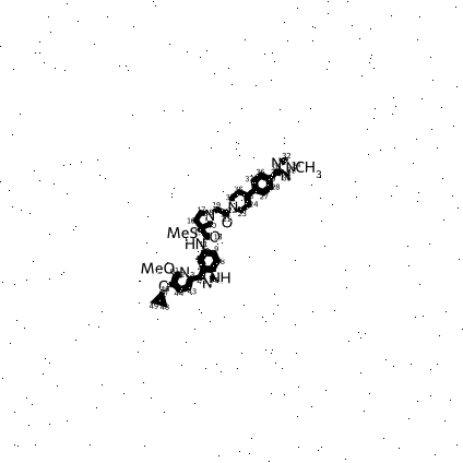 COc1nc(-c2n[nH]c3ccc(NC(=O)[C@]4(SC)CCN(CC(=O)N5CC=C(c6ccc(-c7ncn(C)n7)cc6)CC5)C4)cc23)ccc1OC1CC1